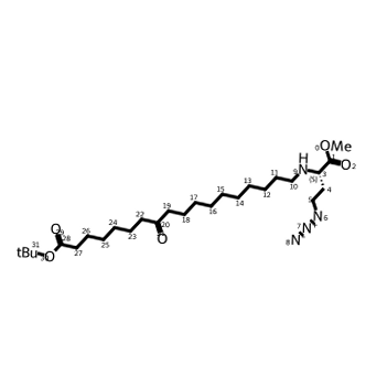 COC(=O)[C@H](CCN=[N+]=[N-])NCCCCCCCCCCC(=O)CCCCCCC(=O)OC(C)(C)C